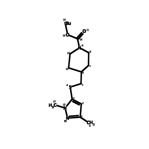 Cc1cc(SCC2CCN(C(=O)OC(C)(C)C)CC2)n(C)n1